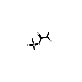 CC(N)C(=O)N=S(C)(C)=O